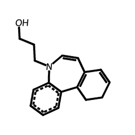 OCCCN1C=CC2=C(CCC=C2)c2ccccc21